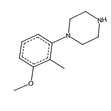 COc1cccc(N2CCNCC2)c1C